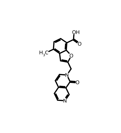 Cc1ccc(C(=O)O)c2oc(Cn3ccc4ccncc4c3=O)cc12